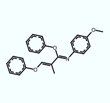 COc1ccc(N=C(Oc2ccccc2)/C(C)=C/Oc2ccccc2)cc1